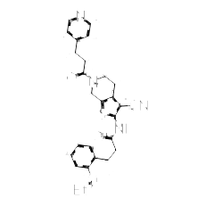 CCOc1ccccc1[C@@H](C)CC(=O)Nc1sc2c(c1C#N)CCN(C(=O)CCc1ccncc1)C2